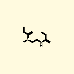 C=C(CC)NCCN(C)C(=C)CC